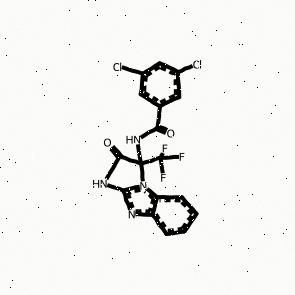 O=C(NC1(C(F)(F)F)C(=O)Nc2nc3ccccc3n21)c1cc(Cl)cc(Cl)c1